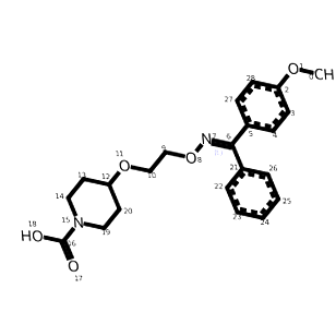 COc1ccc(/C(=N/OCCOC2CCN(C(=O)O)CC2)c2ccccc2)cc1